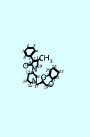 CC1=C(c2ccccc2)C(=O)N(C2CCCN(CC3COc4ccccc4O3)C2)C1